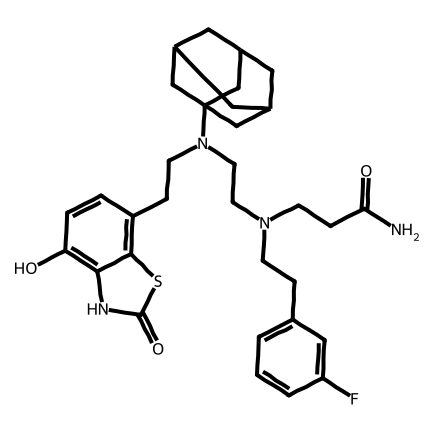 NC(=O)CCN(CCc1cccc(F)c1)CCN(CCc1ccc(O)c2[nH]c(=O)sc12)C12CC3CC(CC(C3)C1)C2